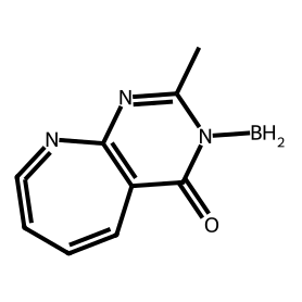 Bn1c(C)nc2c(c1=O)C=CC=C=N2